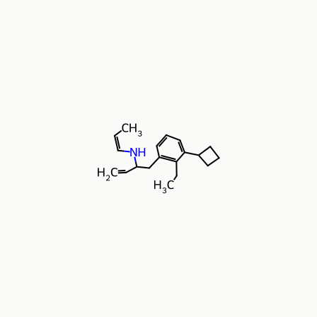 C=CC(Cc1cccc(C2CCC2)c1CC)N/C=C\C